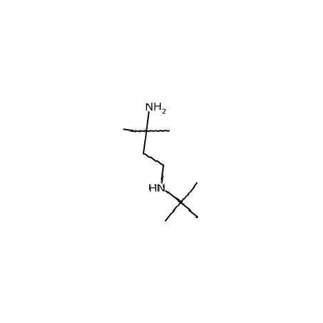 CC(C)(N)CCNC(C)(C)C